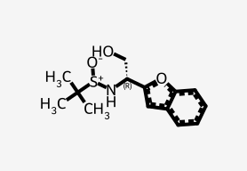 CC(C)(C)[S+]([O-])N[C@H](CO)c1cc2ccccc2o1